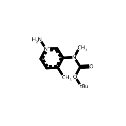 Cc1cc[n+](N)cc1N(C)C(=O)OC(C)(C)C